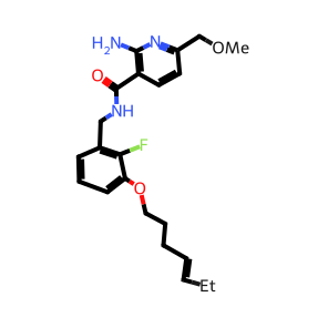 CCC=CCCCOc1cccc(CNC(=O)c2ccc(COC)nc2N)c1F